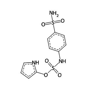 NS(=O)(=O)c1ccc(NS(=O)(=O)Oc2ccc[nH]2)cc1